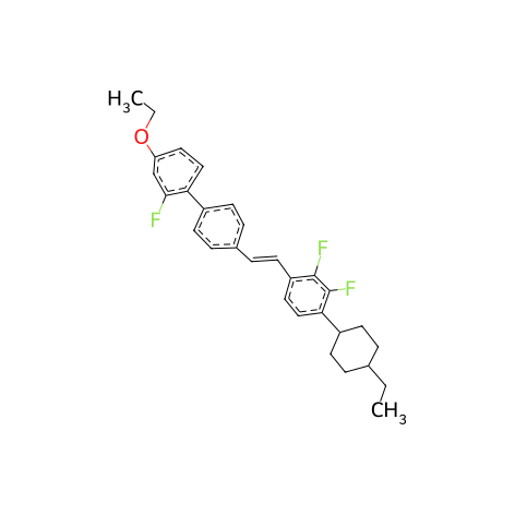 CCOc1ccc(-c2ccc(/C=C/c3ccc(C4CCC(CC)CC4)c(F)c3F)cc2)c(F)c1